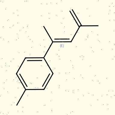 C=C(C)/C=C(\C)c1ccc(C)cc1